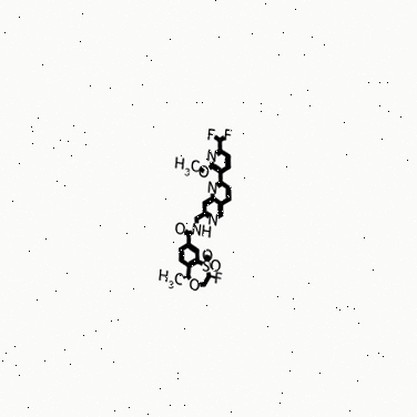 COc1nc(C(F)F)ccc1-c1ccc2cnc(CNC(=O)c3ccc4c(c3)S(=O)(=O)[C@@H](F)CO[C@H]4C)cc2n1